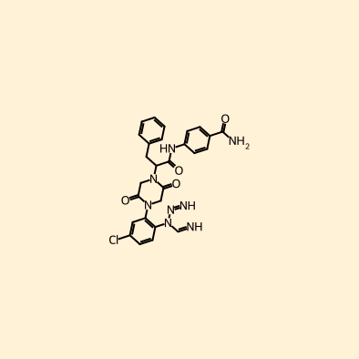 N=CN(N=N)c1ccc(Cl)cc1N1CC(=O)N(C(Cc2ccccc2)C(=O)Nc2ccc(C(N)=O)cc2)CC1=O